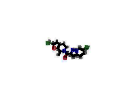 CC1c2oc(Br)cc2CCN1C(=O)c1cc2ccc(Br)cn2n1